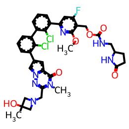 COc1nc(-c2cccc(-c3cccc(-c4cc5c(=O)n(C)c(CN6CC(C)(O)C6)nn5c4)c3Cl)c2Cl)cc(F)c1COC(=O)NCC1CCC(=O)N1